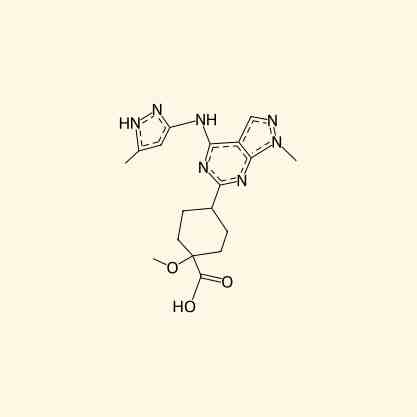 COC1(C(=O)O)CCC(c2nc(Nc3cc(C)[nH]n3)c3cnn(C)c3n2)CC1